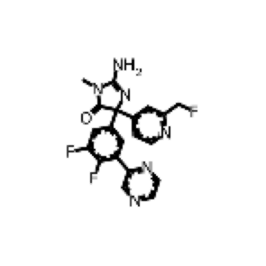 CN1C(=O)C(c2ccnc(CF)c2)(c2cc(F)c(F)c(-c3cnccn3)c2)N=C1N